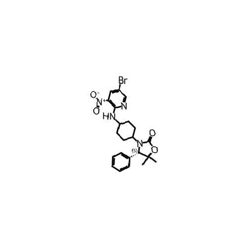 CC1(C)OC(=O)N(C2CCC(Nc3ncc(Br)cc3[N+](=O)[O-])CC2)[C@H]1c1ccccc1